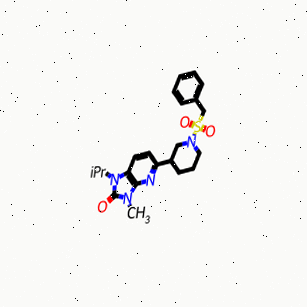 CC(C)n1c(=O)n(C)c2nc(C3CCCN(S(=O)(=O)Cc4ccccc4)C3)ccc21